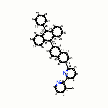 Cc1cccnc1-c1cccc(-c2ccc3cc(-c4c5ccccc5c(-c5ccccc5)c5ccccc45)ccc3c2)n1